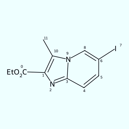 CCOC(=O)c1nc2ccc(I)cn2c1C